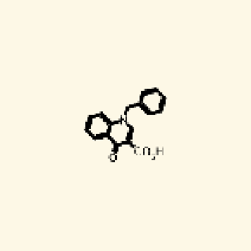 O=C(O)c1cn(Cc2ccccc2)c2ccccc2c1=O